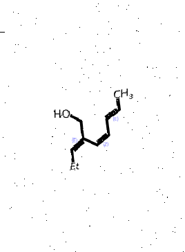 C/C=C/C=C\C(=C/CC)CO